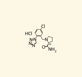 Cl.NC(=O)[C@@H]1CCCN1Cc1cc(Cl)ccc1-n1cnnn1